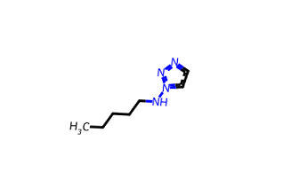 CCCCCNn1ccnn1